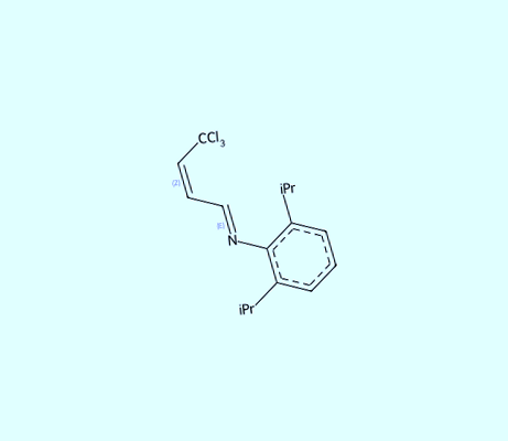 CC(C)c1cccc(C(C)C)c1/N=C/C=C\C(Cl)(Cl)Cl